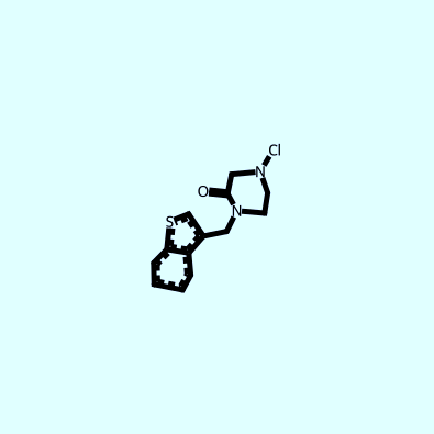 O=C1CN(Cl)CCN1Cc1csc2ccccc12